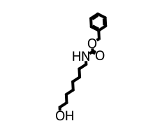 O=C(NCCCCCCCCO)OCc1ccccc1